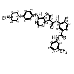 CCN1CCN(c2ccc(Nc3ncnc4c(C(=O)Nc5cc(C(=O)Nc6cccc(C(F)(F)F)c6)ccc5C)csc34)cc2)CC1